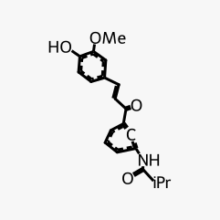 COc1cc(/C=C/C(=O)c2cccc(NC(=O)C(C)C)c2)ccc1O